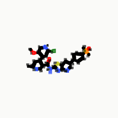 COc1cnc(Cl)cc1-c1cc(C)ncc1C(=O)Nc1nc2ncc(-c3ccc(P(C)(C)=O)cc3)cc2s1